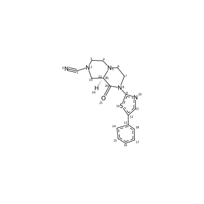 N#CN1CCN2CCN(c3ncc(-c4ccccc4)s3)C(=O)[C@H]2C1